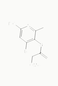 C=C(COC)Nc1c(Br)cc(C(F)(F)F)nc1C